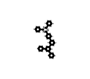 c1ccc(-c2cc(-c3ccccc3)cc(-c3cccc(-c4ccc(-c5nc(-c6ccccc6)nc(-c6ccccc6)n5)cc4)c3)c2)cc1